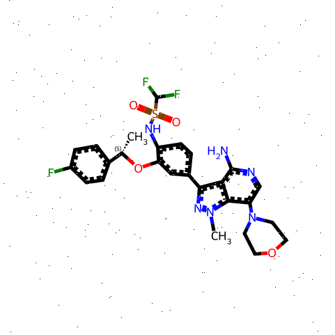 C[C@H](Oc1cc(-c2nn(C)c3c(N4CCOCC4)cnc(N)c23)ccc1NS(=O)(=O)C(F)F)c1ccc(F)cc1